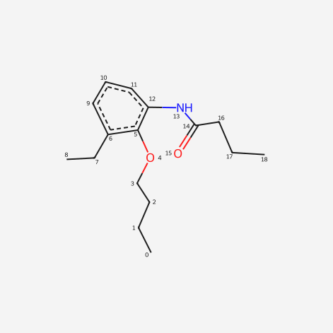 CCCCOc1c(CC)cccc1NC(=O)CCC